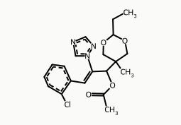 CCC1OCC(C)(C(OC(C)=O)C(=Cc2ccccc2Cl)n2cncn2)CO1